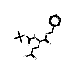 CC(C)(C)OC(=O)N[C@H](CCC(=O)O)C(=O)NCc1ccccc1